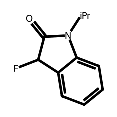 CC(C)N1C(=O)C(F)c2ccccc21